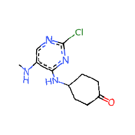 CNc1cnc(Cl)nc1NC1CCC(=O)CC1